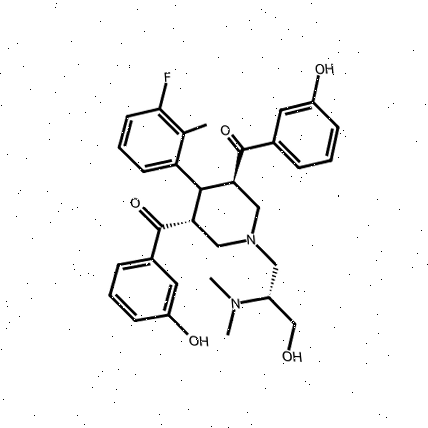 Cc1c(F)cccc1C1[C@@H](C(=O)c2cccc(O)c2)CN(C[C@H](CO)N(C)C)C[C@@H]1C(=O)c1cccc(O)c1